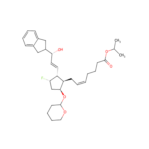 CC(C)OC(=O)CCC/C=C\C[C@@H]1[C@@H](/C=C/[C@@H](O)C2Cc3ccccc3C2)[C@@H](F)C[C@@H]1OC1CCCCO1